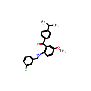 COc1ccc(NCc2cccc(Cl)c2)c(C(=O)c2ccc(C(C)C)cc2)c1